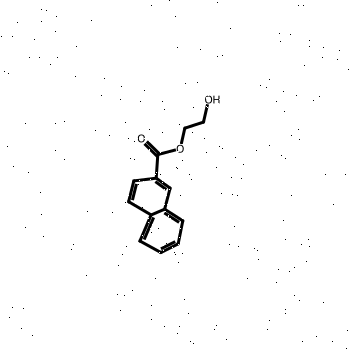 O=C(OCCO)c1ccc2ccccc2c1